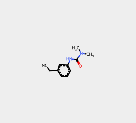 CN(C)C(=O)Nc1cccc(CC#N)c1